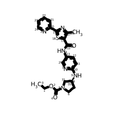 CCOC(=O)N1CC[C@H](Nc2ccc(NC(=O)c3sc(-c4ccccn4)nc3C)cn2)C1